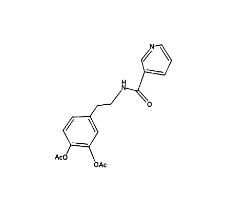 CC(=O)Oc1ccc(CCNC(=O)c2cccnc2)cc1OC(C)=O